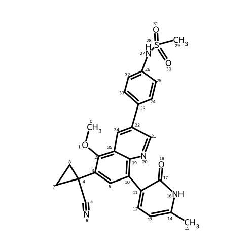 COc1c(C2(C#N)CC2)cc(-c2ccc(C)[nH]c2=O)c2ncc(-c3ccc(NS(C)(=O)=O)cc3)cc12